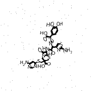 Nc1cc(SCC2(C(=O)O)CS[C@@H]3C(NC(=O)C(=NO[C@H](C(=O)O)c4ccc(O)c(O)c4)c4csc(N)n4)C(=O)N3C2)ncn1